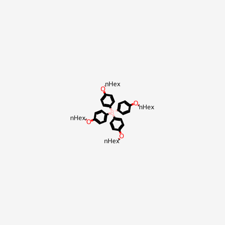 CCCCCCOc1ccc([B-](c2ccc(OCCCCCC)cc2)(c2ccc(OCCCCCC)cc2)c2ccc(OCCCCCC)cc2)cc1